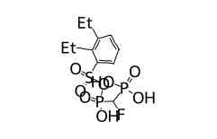 CCc1cccc(S(=O)(=O)OP(=O)(O)C(F)P(=O)(O)O)c1CC